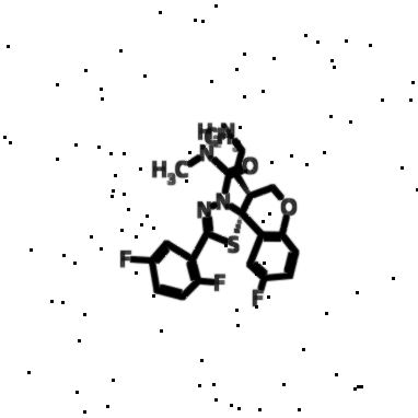 CN(C)C(=O)N1N=C(c2cc(F)ccc2F)S[C@]12c1cc(F)ccc1OC[C@@H]2CCN